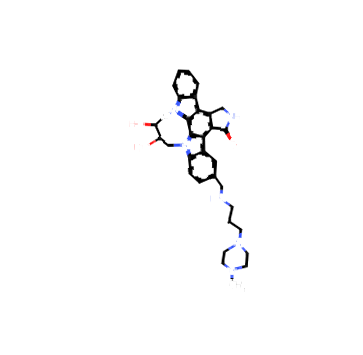 CN1CCN(CCCNCc2ccc3c(c2)c2c4c(c5c6ccccc6n6c5c2n3CC(O)C(O)C6)CNC4=O)CC1